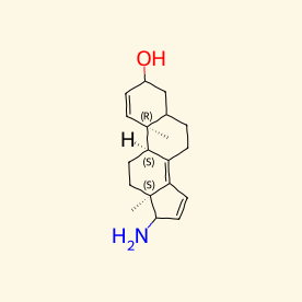 C[C@]12CC[C@@H]3C(=C1C=CC2N)CCC1CC(O)C=C[C@@]13C